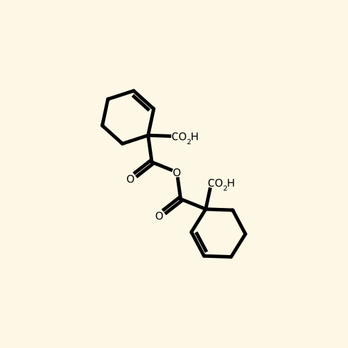 O=C(O)C1(C(=O)OC(=O)C2(C(=O)O)C=CCCC2)C=CCCC1